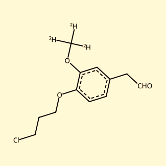 [2H]C([2H])([2H])Oc1cc(CC=O)ccc1OCCCCl